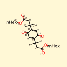 CCCCCCOC(=O)CC(C)(C)C1=CC(=O)C(C(C)(C)CC(=O)OCCCCCC)=CC1=O